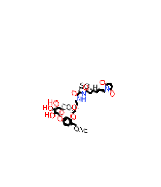 CC(=O)OCc1ccc(O[C@@H]2O[C@H](C(=O)O)C(O)[C@H](O)[C@H]2O)cc1OCCOCCNC(=O)[C@H](CS(=O)(=O)O)NC(=O)CCCCCN1C(=O)C=CC1=O